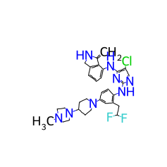 C=C1NCc2cccc(Nc3nc(Nc4ccc(N5CCC(N6CCN(C)CC6)CC5)cc4CC(F)F)ncc3Cl)c21